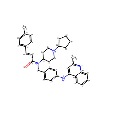 Cc1cc(Nc2ccc(CN(C(=O)C=Cc3ccc(C(F)(F)F)cc3)C3CCN(C4CCCC4)CC3)cc2)c2ccccc2n1